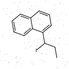 CCC(I)c1cccc2ccccc12